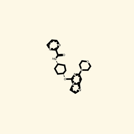 O=C(N[C@H]1CC[C@@H](Oc2nc(N3CCOCC3)cc3nccn23)CC1)c1ncccn1